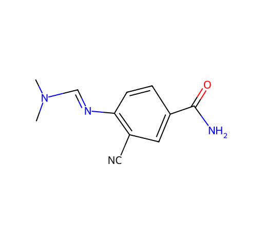 CN(C)C=Nc1ccc(C(N)=O)cc1C#N